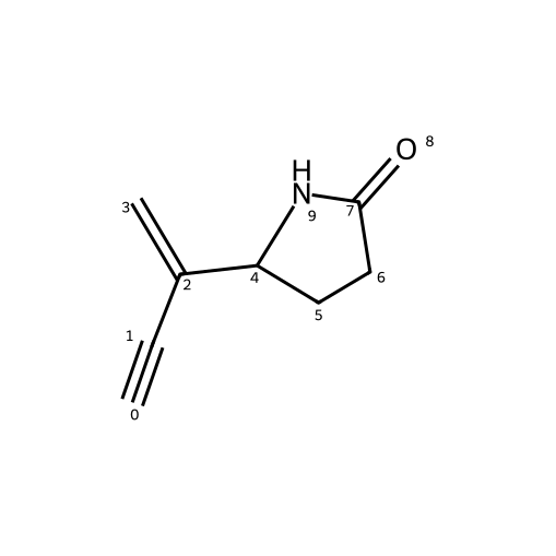 C#CC(=C)C1CCC(=O)N1